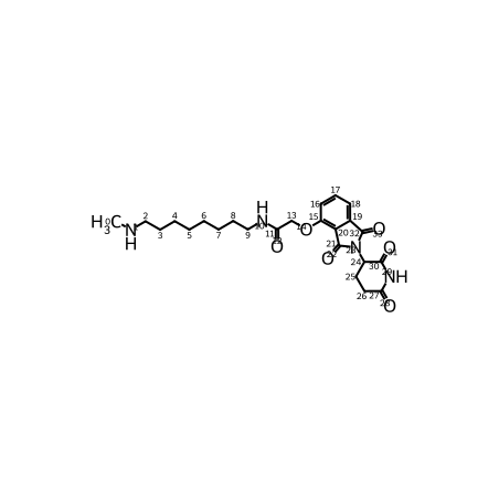 CNCCCCCCCCNC(=O)COc1cccc2c1C(=O)N(C1CCC(=O)NC1=O)C2=O